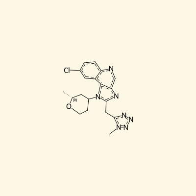 C[C@@H]1CC(n2c(Cc3nnnn3C)nc3cnc4ccc(Cl)cc4c32)CCO1